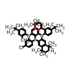 Cc1cc(C(C)(C)C)ccc1N1c2cc(Cl)ccc2B2c3cc4c(cc3N(c3ccc(C(C)(C)C)cc3-c3ccccc3)c3cc(C(C)(C)C)cc1c32)C(C)(C)CCC4(C)C